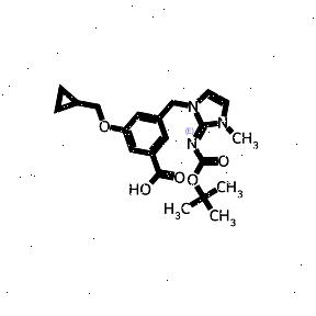 Cn1ccn(Cc2cc(OCC3CC3)cc(C(=O)O)c2)/c1=N/C(=O)OC(C)(C)C